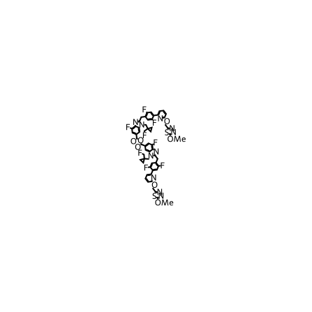 COc1nnc(COc2cccc(-c3cc(F)c(Cc4nc5c(F)cc(C(=O)OC(=O)c6cc(F)c7nc(Cc8cc(F)c(-c9cccc(OCc%10nnc(OC)s%10)n9)cc8F)n(CC8(CF)CC8)c7c6)cc5n4CC4(CF)CC4)cc3F)n2)s1